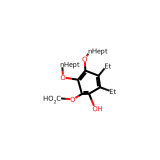 CCCCCCCOc1c(CC)c(CC)c(O)c(OC(=O)O)c1OCCCCCCC